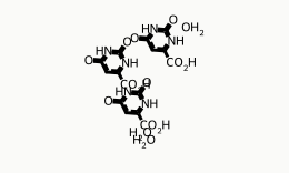 O.O.O.O=C(O)c1cc(=O)[nH]c(=O)[nH]1.O=C(O)c1cc(=O)[nH]c(=O)[nH]1.O=C(O)c1cc(=O)[nH]c(=O)[nH]1